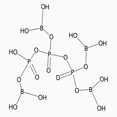 O=P(O)(OB(O)O)OP(=O)(OB(O)O)OP(=O)(OB(O)O)OB(O)O